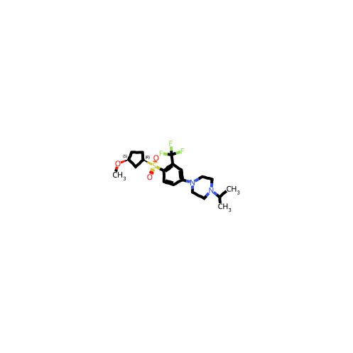 CO[C@H]1CC[C@@H](S(=O)(=O)c2ccc(N3CCN(C(C)C)CC3)cc2C(F)(F)F)C1